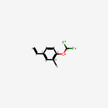 C=Cc1ccc(OC(F)F)c(C)c1